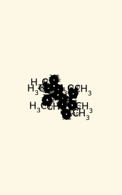 Cc1ccc(N(c2ccc(C)c(C)c2)c2cc3c4ccc(-c5ccccc5)cc4c(N(c4ccc(C)c(C)c4)c4ccc(C)c(C)c4)cc3c3ccc(-c4ccccc4)cc23)cc1C